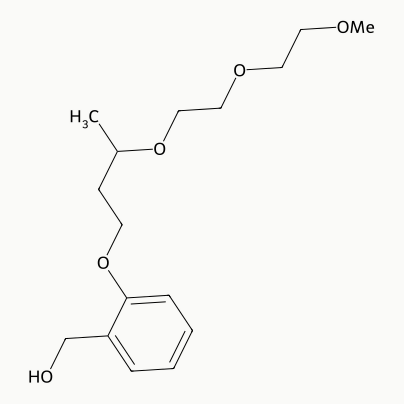 COCCOCCOC(C)CCOc1ccccc1CO